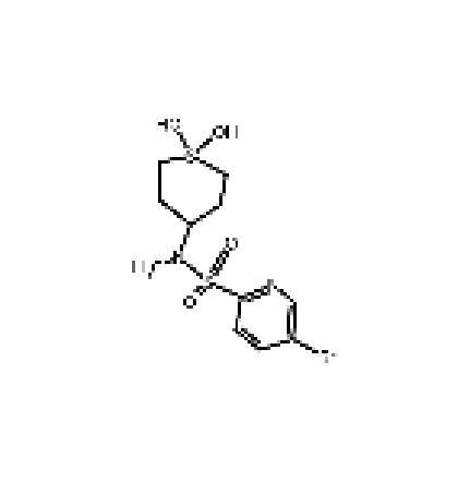 CN(C1CCS(O)(O)CC1)S(=O)(=O)c1ccc(Br)cn1